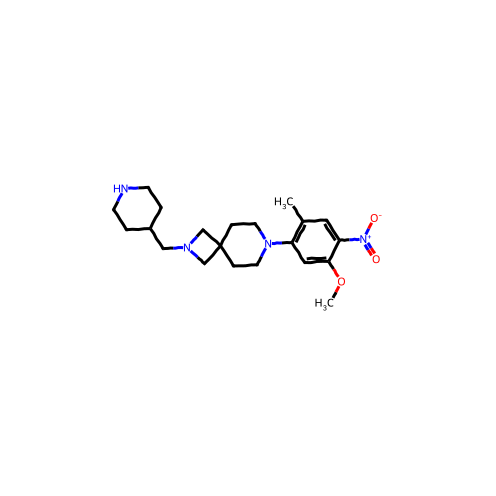 COc1cc(N2CCC3(CC2)CN(CC2CCNCC2)C3)c(C)cc1[N+](=O)[O-]